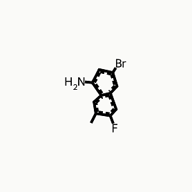 Cc1cc2c(N)cc(Br)cc2cc1F